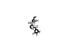 CCc1cc(Nc2ccnc(C(=O)c3cc(F)c(F)c(F)c3)n2)n[nH]1